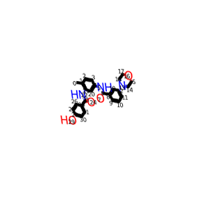 Cc1ccc(NC(=O)c2cccc(N3CCOCC3)c2)cc1NC(=O)c1ccc(O)cc1